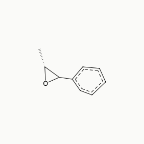 C[C@H]1OC1c1ccccc1